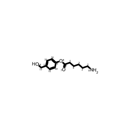 NCCCCCC(=O)Oc1ccc(CO)cc1